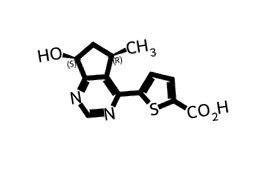 C[C@@H]1C[C@H](O)c2ncnc(-c3ccc(C(=O)O)s3)c21